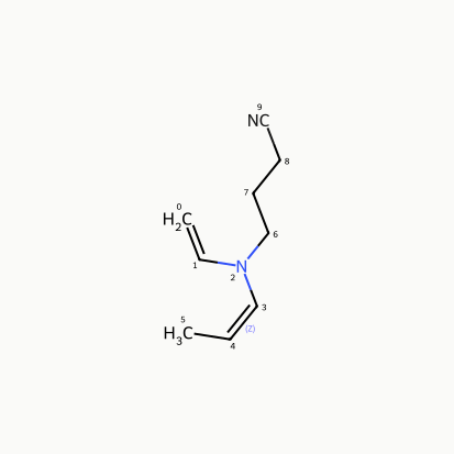 C=CN(/C=C\C)CCCC#N